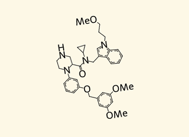 COCCCn1cc(CN(C(=O)C2CNCCN2c2cccc(OCc3cc(OC)cc(OC)c3)c2)C2CC2)c2ccccc21